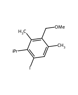 COCc1c(C)cc(I)c(C(C)C)c1C